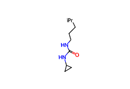 CC(C)CCCNC(=O)NC1CC1